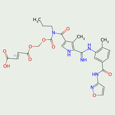 CCCN(C(=O)OCOC(=O)/C=C/C(=O)O)C(=O)c1c[nH]c(C(=N)Nc2cc(C(=O)Nc3ccon3)ccc2C)c1C